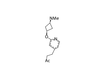 CN[C@H]1C[C@@H](Oc2cc(CCC(C)=O)ccn2)C1